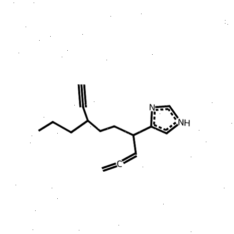 C#CC(CCC)CCC(C=C=C)c1c[nH]cn1